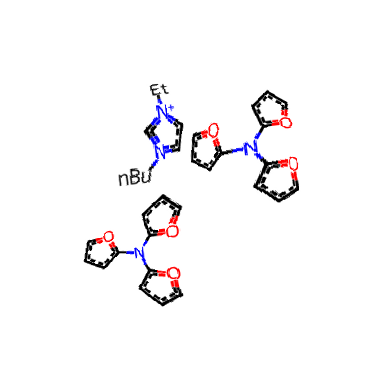 CCCCn1cc[n+](CC)c1.c1coc(N(c2ccco2)c2ccco2)c1.c1coc(N(c2ccco2)c2ccco2)c1